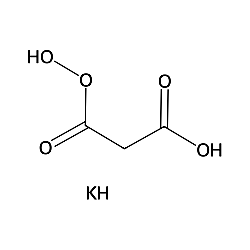 O=C(O)CC(=O)OO.[KH]